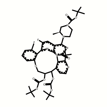 CC(C)c1nccc2c1-n1c(=O)nc(N3CCN(C(=O)OC(C)(C)C)C[C@@H]3C)c3cc(F)c(nc31)-c1c(F)cccc1OCC(OC(=O)OC(C)(C)C)C2OC(=O)OC(C)(C)C